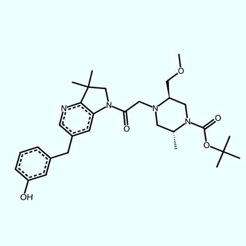 COC[C@H]1CN(C(=O)OC(C)(C)C)[C@H](C)CN1CC(=O)N1CC(C)(C)c2ncc(Cc3cccc(O)c3)cc21